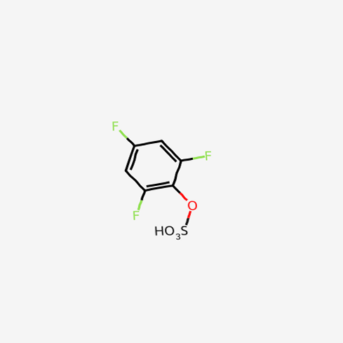 O=S(=O)(O)Oc1c(F)cc(F)cc1F